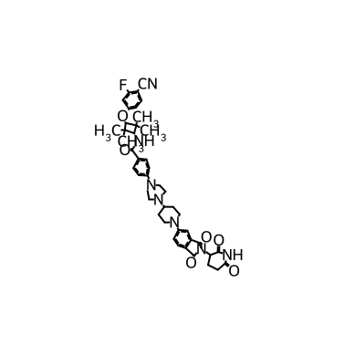 CC1(C)[C@H](NC(=O)c2ccc(N3CCN(C4CCN(c5ccc6c(c5)C(=O)N(C5CCC(=O)NC5=O)C6=O)CC4)CC3)cc2)C(C)(C)[C@H]1Oc1ccc(C#N)c(F)c1